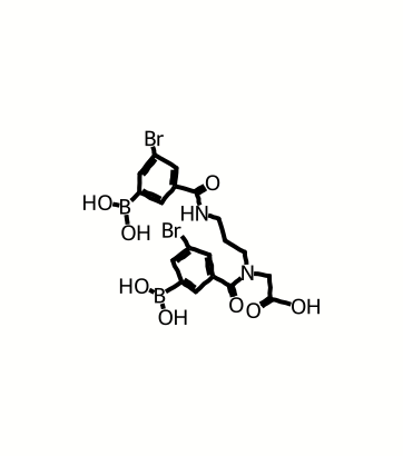 O=C(O)CN(CCCNC(=O)c1cc(Br)cc(B(O)O)c1)C(=O)c1cc(Br)cc(B(O)O)c1